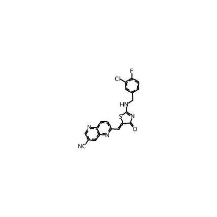 N#Cc1cnc2ccc(/C=C3\SC(NCc4ccc(F)c(Cl)c4)=NC3=O)nc2c1